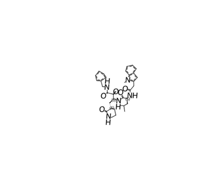 CC(C)C[C@H](NC(=O)Cc1cc2ccccc2n1C)C(=O)N[C@@H](C[C@@H]1CCCNC1=O)C(=O)C(=O)NCc1ccccc1